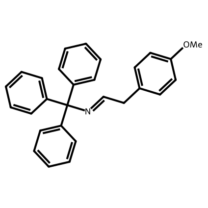 COc1ccc(CC=NC(c2ccccc2)(c2ccccc2)c2ccccc2)cc1